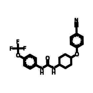 N#Cc1ccc(OC2CCC(NC(=O)Nc3ccc(OC(F)(F)F)cc3)CC2)cc1